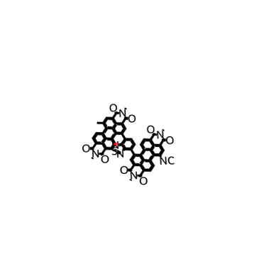 [C-]#[N+]c1cc2c3c(ccc4c5c(-c6ccc(-c7cc8c9c(cc(C)c%10c%11ccc%12c%13c(ccc(c7c9%10)c%13%11)C(=O)N(C)C%12=O)C(=O)N(C)C8=O)c7nsnc67)cc6c7c(ccc(c1c34)c75)C(=O)N(C)C6=O)C(=O)N(C)C2=O